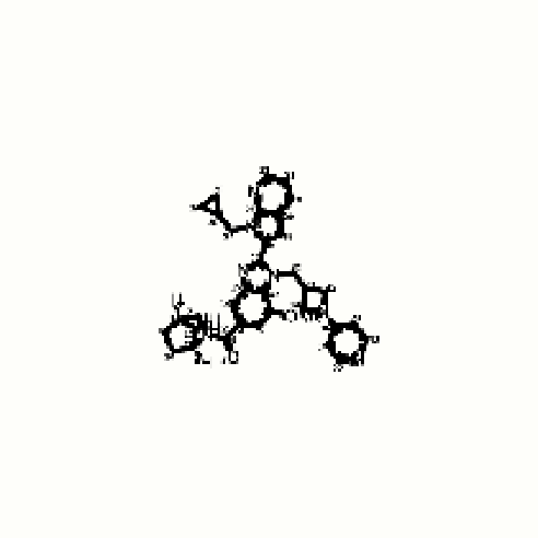 COc1cc(C(=O)N2C[C@H]3CC[C@@H]2[C@@H]3N)cc2nc(-c3cc4cccnc4n3CC3CC3)n(CC3CN(c4ccncc4)C3)c12